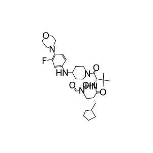 CC(C)(C)[C@H](NC(=O)[C@H](CC1CCCC1)CN(O)C=O)C(=O)N1CCC(Nc2ccc(N3CCOCC3)c(F)c2)CC1